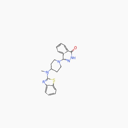 CN(c1nc2ccccc2s1)C1CCN(c2n[nH]c(=O)c3ccccc23)CC1